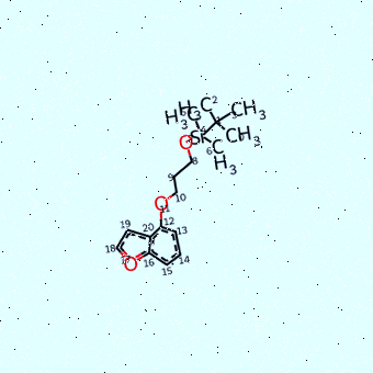 CC(C)(C)[Si](C)(C)OCCCOc1cc[c]c2occc12